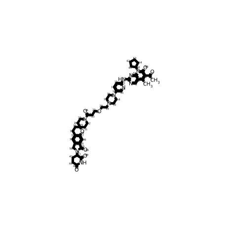 CC(=O)c1c(C)c2cnc(Nc3ccc(N4CCN(CCOCCC(=O)N5CCC6(CCc7cc8c(cc7O6)C(=O)N(C6CCC(=O)NC6=O)C8)CC5)CC4)cn3)nc2n(C2CCCC2)c1=O